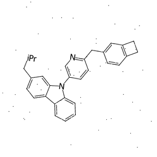 CC(C)Cc1ccc2c3ccccc3n(-c3ccc(Cc4ccc5c(c4)CC5)nc3)c2c1